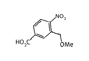 COCc1cc(C(=O)O)ccc1[N+](=O)[O-]